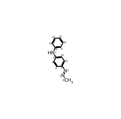 CN=Nc1ccc(Nc2ccccc2)cc1